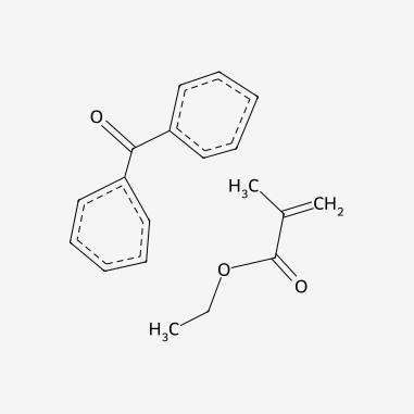 C=C(C)C(=O)OCC.O=C(c1ccccc1)c1ccccc1